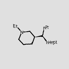 CCCCCCCC(CCC)[C@H]1CCCN(CC)C1